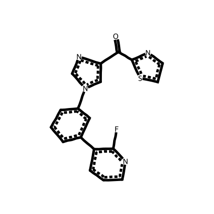 O=C(c1cn(-c2cccc(-c3cccnc3F)c2)cn1)c1nccs1